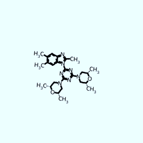 Cc1cc2nc(C)n(-c3nc(N4C[C@@H](C)O[C@@H](C)C4)nc(N4C[C@@H](C)O[C@@H](C)C4)n3)c2cc1C